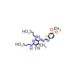 Cc1c(C#N)c(NCCS(=O)(=O)O)nc(NCCS(=O)(=O)O)c1N=Nc1nc2ccc(S(C)(=O)=O)cc2s1